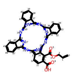 C=CCOC(=O)c1c(C(=O)O)ccc2c3nc4nc(nc5[nH]c(nc6nc(nc([nH]3)c12)-c1ccccc1-6)c1ccccc51)-c1ccccc1-4